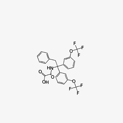 O=C(O)C(=O)NC(Cc1ccccc1)(c1cccc(OC(F)(F)F)c1)c1cccc(OC(F)(F)F)c1